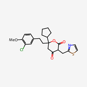 COc1ccc(CCC2(C3CCCC3)CC(=O)C(Cc3nccs3)C(=O)O2)cc1Cl